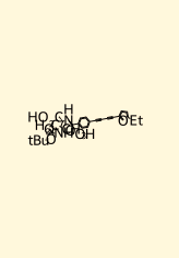 CCc1ccc(C#CC#Cc2ccc(C(=O)N[C@H](C(=O)O)C(C)(C)NC(=O)OC(C)(C)C)c(O)c2)o1